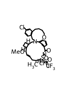 CO[C@H]1/C=C/C[C@H](C)[C@@H](C)S(=O)(NC(=O)C(F)(F)F)=NC(=O)c2ccc3c(c2)N(Cc2ccc(Cl)cc2CCCCO3)C[C@@H]2CC[C@H]21